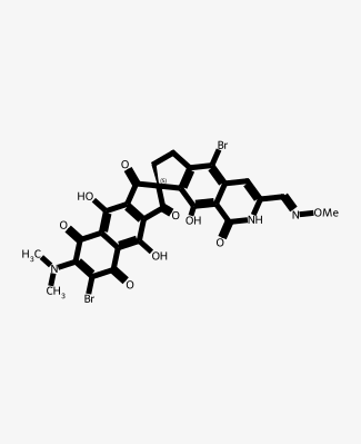 CON=Cc1cc2c(Br)c3c(c(O)c2c(=O)[nH]1)[C@]1(CC3)C(=O)c2c(O)c3c(c(O)c2C1=O)C(=O)C(N(C)C)=C(Br)C3=O